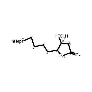 CCCCCCCCCCCC1NC(=O)CC1C(=O)O